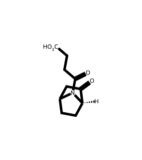 O=C(O)CCC(=O)N1C2CC[C@@H]1C(=O)C2